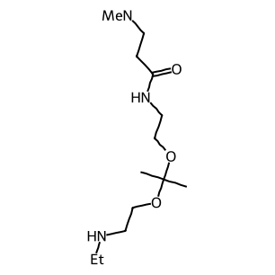 CCNCCOC(C)(C)OCCNC(=O)CCNC